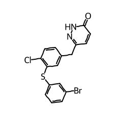 O=c1ccc(Cc2ccc(Cl)c(Sc3cccc(Br)c3)c2)n[nH]1